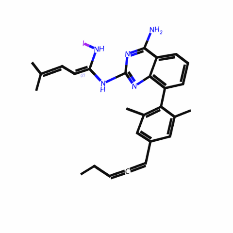 CCC=C=Cc1cc(C)c(-c2cccc3c(N)nc(N/C(=C/C=C(C)C)NI)nc23)c(C)c1